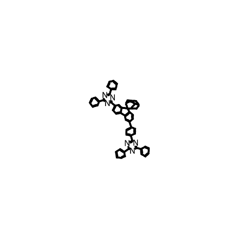 c1ccc(-c2nc(-c3ccccc3)nc(-c3ccc(-c4ccc5c(c4)-c4ccc(-c6nc(-c7ccccc7)nc(-c7ccccc7)n6)cc4C54C5CC6CC(C5)CC4C6)cc3)n2)cc1